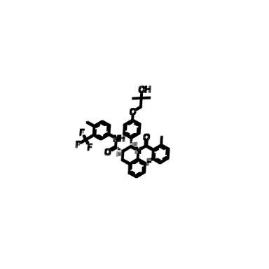 Cc1ccc(NC(=O)[C@H]2Cc3ccccc3N(C(=O)c3c(C)cccc3F)[C@H]2c2ccc(OCC(C)(C)O)cc2)cc1C(F)(F)F